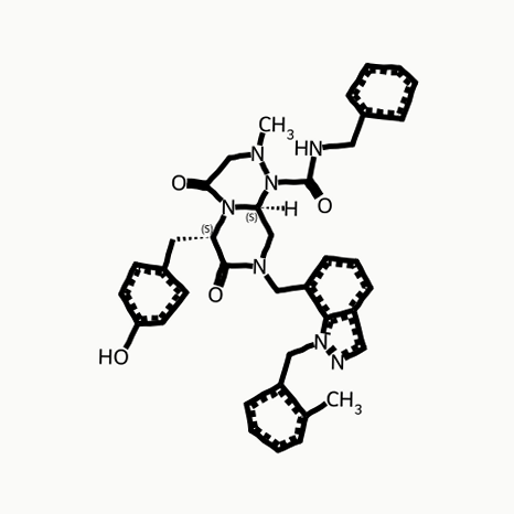 Cc1ccccc1Cn1ncc2cccc(CN3C[C@H]4N(C(=O)CN(C)N4C(=O)NCc4ccccc4)[C@@H](Cc4ccc(O)cc4)C3=O)c21